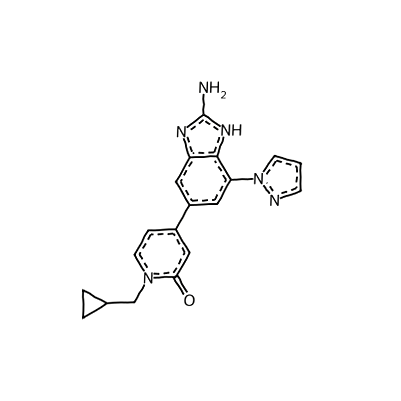 Nc1nc2cc(-c3ccn(CC4CC4)c(=O)c3)cc(-n3cccn3)c2[nH]1